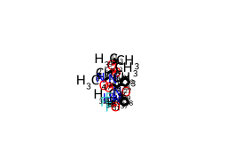 CN(C)C(=O)[C@H](CC(=O)OC(C)(C)C)N(C)C(=O)[C@H](C1CCCC1)N(C)C(=O)C1(NC(=O)C(F)(F)F)CCCC1